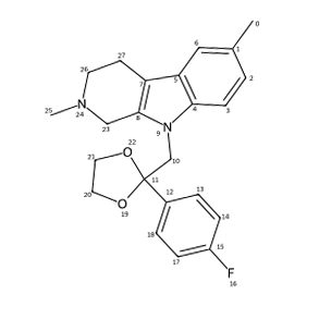 Cc1ccc2c(c1)c1c(n2CC2(c3ccc(F)cc3)OCCO2)CN(C)CC1